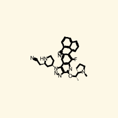 C[C@H](Oc1nc2c(F)c(-c3cccc4cccc(C#N)c34)c(Cl)cc2c2c1nnn2[C@H]1CCN[C@H](CC#N)C1)[C@@H]1CCCN1C